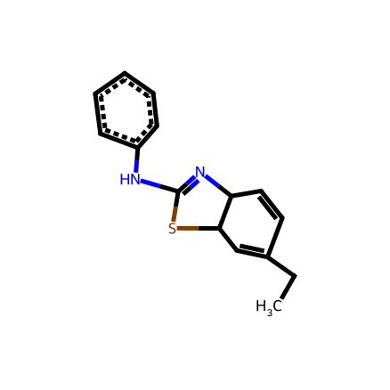 CCC1=CC2SC(Nc3ccccc3)=NC2C=C1